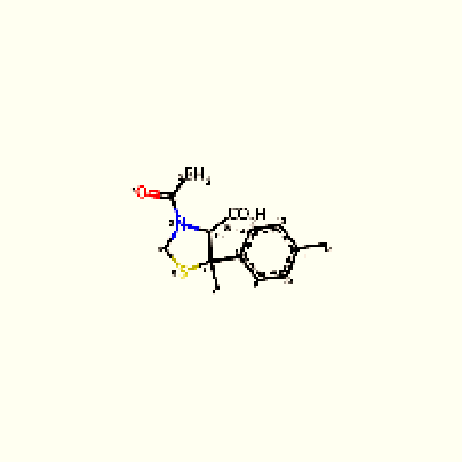 BC(=O)N1CSC(C)(c2ccc(C)cc2)C1C(=O)O